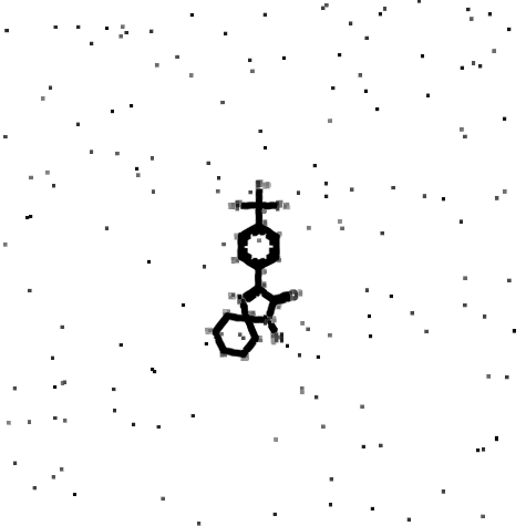 [2H]N1C(=O)C(c2ccc(C(F)(F)F)cc2)=NC12CCCCC2